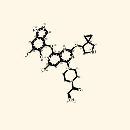 C=CC(=O)N1CCN(c2nc(OC3CNCC34CC4)nc3c(Oc4c(Cl)c(F)cc5[nH]ncc45)nc(Cl)cc23)CC1